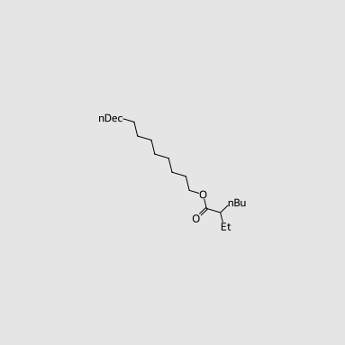 CCCCCCCCCCCCCCCCCCOC(=O)C(CC)CCCC